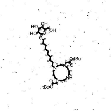 CC(C)(C)OC(=O)CN1CCCN(CCCCCCCCCCO[C@@H]2OC(CO)[C@@H](O)[C@H](O)C2O)CCN(CC(=O)OC(C)(C)C)CCCNCC1